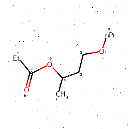 CCCOCCC(C)OC(=O)CC